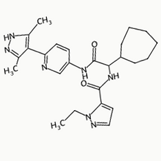 CCn1nccc1C(=O)NC(C(=O)Nc1ccc(-c2c(C)n[nH]c2C)nc1)C1CCCCCC1